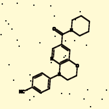 N#Cc1ccc(N2CCOc3cc(C(=O)N4CCCCC4)cnc32)cc1